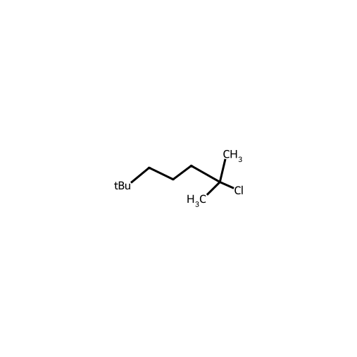 CC(C)(C)CCCC(C)(C)Cl